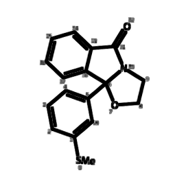 CSc1cccc(C23OCCN2C(=O)c2ccccc23)c1